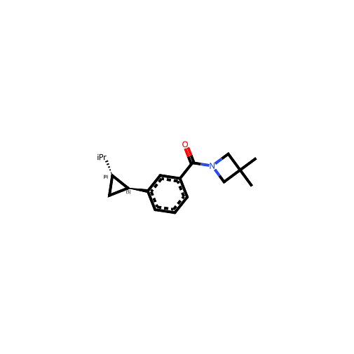 CC(C)[C@H]1C[C@@H]1c1cccc(C(=O)N2CC(C)(C)C2)c1